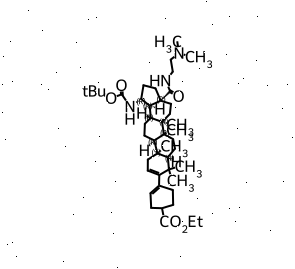 CCOC(=O)C1CC=C(C2=CC[C@]3(C)[C@H]4CC[C@@H]5[C@H]6[C@H](NC(=O)OC(C)(C)C)CC[C@]6(C(=O)NCCN(C)C)CC[C@@]5(C)[C@]4(C)CC[C@H]3C2(C)C)CC1